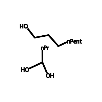 CCCC(O)O.CCCCCCCCO